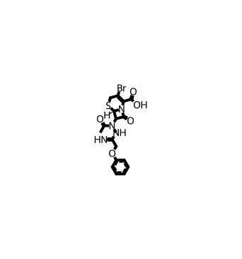 CC(=O)N(NC(=N)COc1ccccc1)C1C(=O)N2C(C(=O)O)=C(Br)CS[C@H]12